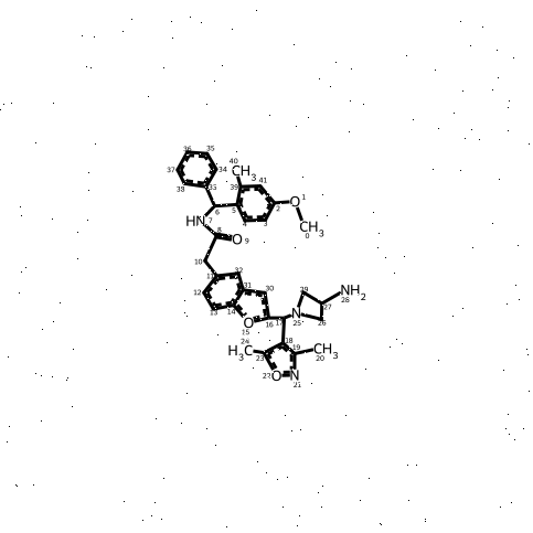 COc1ccc(C(NC(=O)Cc2ccc3oc(C(c4c(C)noc4C)N4CC(N)C4)cc3c2)c2ccccc2)c(C)c1